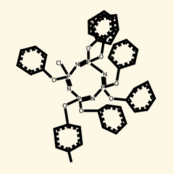 Cc1ccc(OP2(Oc3ccccc3)=NP(Oc3ccccc3)(Oc3ccccc3)=NP(Oc3ccccc3)(Oc3ccccc3)=NP(Cl)(Oc3ccccc3)=N2)cc1